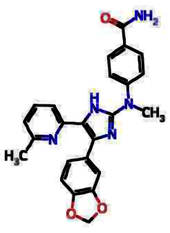 Cc1cccc(-c2[nH]c(N(C)c3ccc(C(N)=O)cc3)nc2-c2ccc3c(c2)OCO3)n1